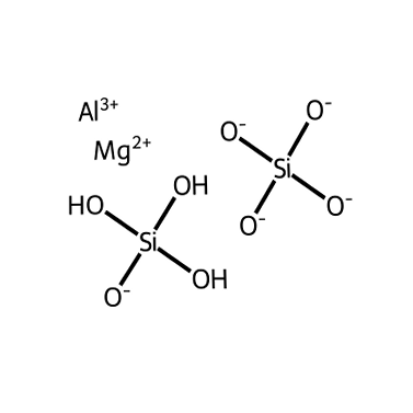 [Al+3].[Mg+2].[O-][Si](O)(O)O.[O-][Si]([O-])([O-])[O-]